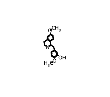 COc1ccc2c(c1)CCN=C2Cc1ccc(OC)c(O)c1